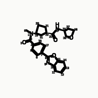 CN(C(=O)c1ccc(-c2nc3ccccc3o2)cc1)[C@@H]1CC[C@H](C(=O)N[C@H]2CCOC2)C1